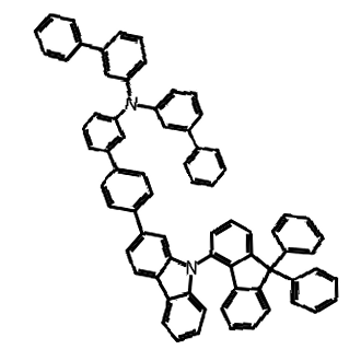 c1ccc(-c2cccc(N(c3cccc(-c4ccccc4)c3)c3cccc(-c4ccc(-c5ccc6c7ccccc7n(-c7cccc8c7-c7ccccc7C8(c7ccccc7)c7ccccc7)c6c5)cc4)c3)c2)cc1